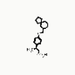 CC(CC(=O)O)c1ccc(OCC2CCCC3(CCCC3)C2)cc1